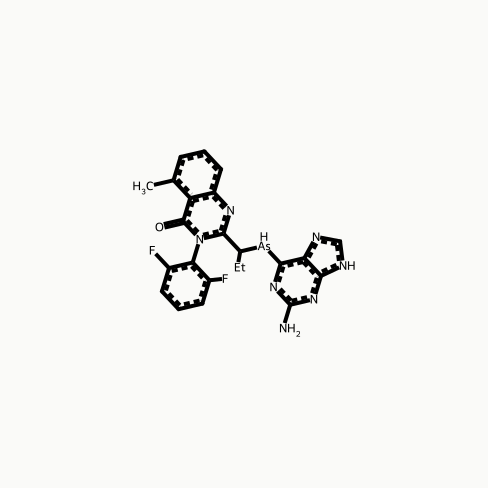 CCC([AsH]c1nc(N)nc2[nH]cnc12)c1nc2cccc(C)c2c(=O)n1-c1c(F)cccc1F